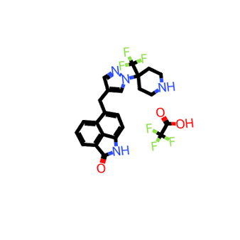 O=C(O)C(F)(F)F.O=C1Nc2ccc(Cc3cnn(C4(C(F)(F)F)CCNCC4)c3)c3cccc1c23